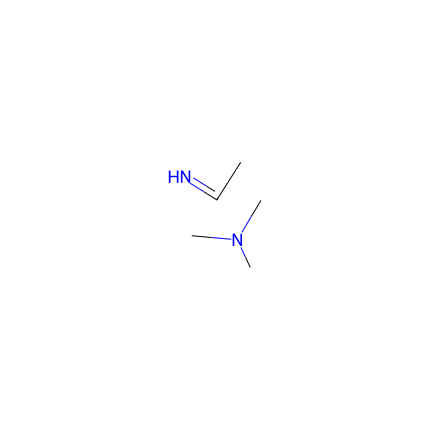 CC=N.CN(C)C